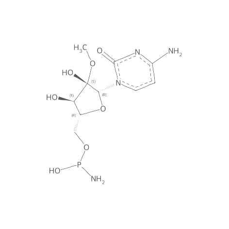 CO[C@@]1(O)[C@H](O)[C@@H](COP(N)O)O[C@H]1n1ccc(N)nc1=O